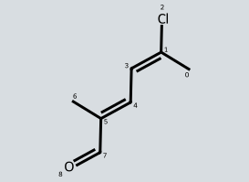 C/C(Cl)=C\C=C(/C)C=O